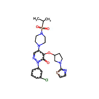 CC(C)S(=O)(=O)N1CCN(c2cnn(-c3cccc(Cl)c3)c(=O)c2OC2CCN(c3nccs3)C2)CC1